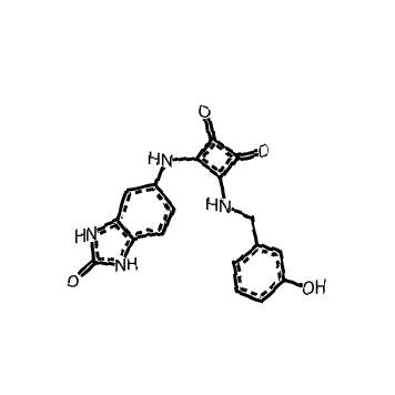 O=c1[nH]c2ccc(Nc3c(NCc4cccc(O)c4)c(=O)c3=O)cc2[nH]1